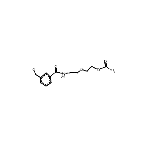 NC(=O)OCCOCCNC(=O)c1cccc(CCl)c1